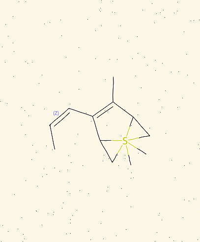 C/C=C\C1=C(C)C2CS23(C)(C)CC13